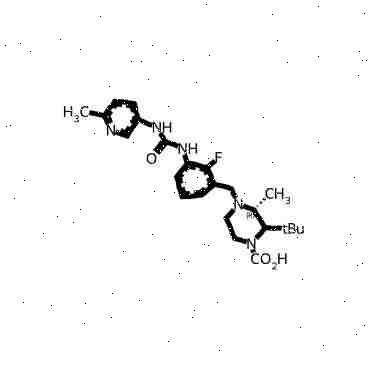 Cc1ccc(NC(=O)Nc2cccc(CN3CCN(C(=O)O)C(C(C)(C)C)[C@H]3C)c2F)cn1